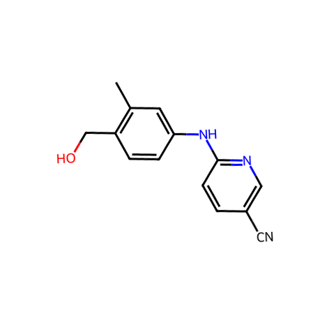 Cc1cc(Nc2ccc(C#N)cn2)ccc1CO